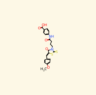 COc1ccc(/C=C2\SC(=S)N(CCCC(=O)Nc3ccc(C(=O)O)cc3)C2=O)cc1